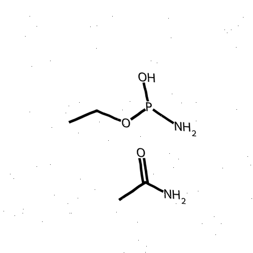 CC(N)=O.CCOP(N)O